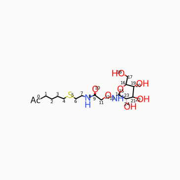 CC(=O)CCCCSCCNC(=O)CON[C@@H]1OC(CO)[C@@H](O)C(O)[C@@H]1O